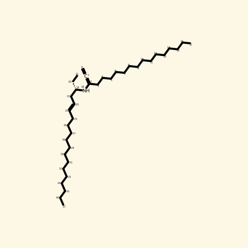 C=C=C(CCCCCCCCCCCCCCC)N[C@@H](CC)C/C=C/CCCCCCCCCCCCC